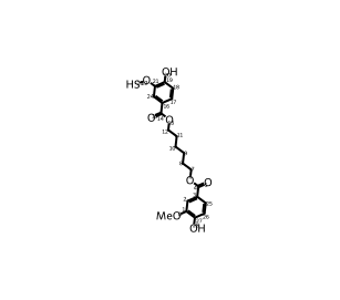 COc1cc(C(=O)OCCCCCCOC(=O)c2ccc(O)c(OS)c2)ccc1O